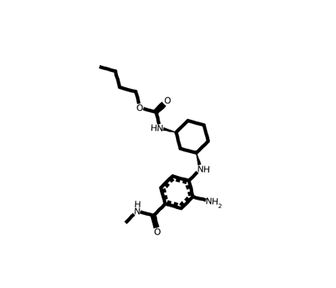 CCCCOC(=O)N[C@H]1CCC[C@@H](Nc2ccc(C(=O)NC)cc2N)C1